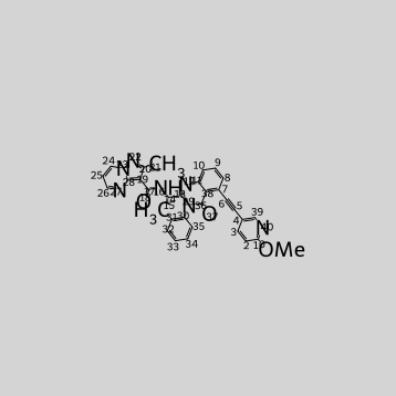 COc1ccc(C#Cc2cccc3nc([C@H](C)NC(=O)c4c(C)nn5cccnc45)n(-c4ccccc4)c(=O)c23)cn1